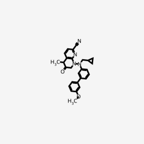 COc1cccc(-c2cccc(N(CC3CC3)N3CC(=O)C(C)c4ccc(C#N)nc43)c2)c1